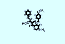 Cl.N[C@H]1CSC2=C(F)C(C(=O)NCc3ccccc3)=CN(Cc3ccc(OC(F)(F)F)cc3)C2C1=O